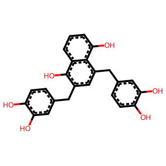 Oc1ccc(Cc2cc(Cc3ccc(O)c(O)c3)c3c(O)cccc3c2O)cc1O